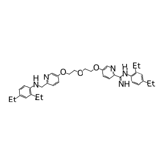 CCc1ccc(NCc2ccc(OCCOCCOc3ccc(C(=N)Nc4ccc(CC)cc4CC)nc3)cn2)c(CC)c1